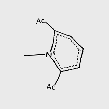 CC(=O)c1cccc(C(C)=O)[n+]1C